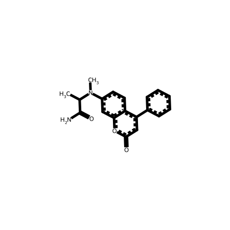 CC(C(N)=O)N(C)c1ccc2c(-c3ccccc3)cc(=O)oc2c1